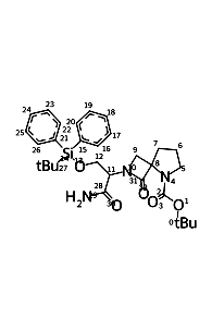 CC(C)(C)OC(=O)N1CCCC12CN(C(CO[Si](c1ccccc1)(c1ccccc1)C(C)(C)C)C(N)=O)C2=O